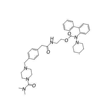 CN(C)C(=O)N1CCN(Cc2ccc(CC(=O)NCCOC(=O)N(c3ccccc3-c3ccccc3)N3CC[CH]CC3)cc2)CC1